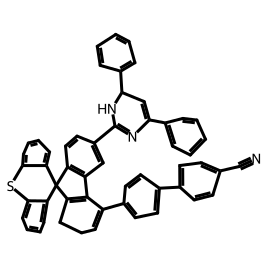 N#Cc1ccc(-c2ccc(C3=CCCC4=C3c3cc(C5=NC(c6ccccc6)=CC(c6ccccc6)N5)ccc3C43c4ccccc4Sc4ccccc43)cc2)cc1